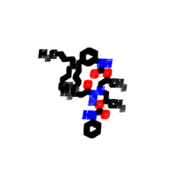 CCC[CH2][Sn]([CH2]CCC)([CH2]CCC)[c]1cccc(NC(=O)OC(C)CN(CC(C)OC(=O)Nc2ccccc2)NC(=O)CC)c1